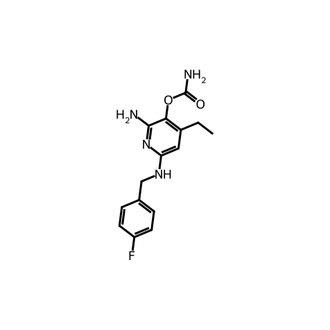 CCc1cc(NCc2ccc(F)cc2)nc(N)c1OC(N)=O